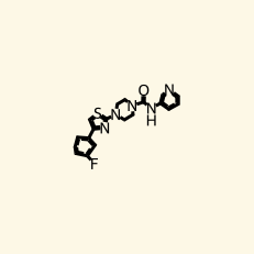 O=C(Nc1cccnc1)N1CCN(c2nc(-c3cccc(F)c3)cs2)CC1